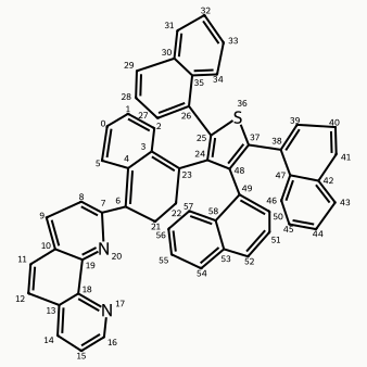 c1ccc2c(c1)=C(c1ccc3ccc4cccnc4c3n1)CCC=2c1c(-c2cccc3ccccc23)sc(-c2cccc3ccccc23)c1-c1cccc2ccccc12